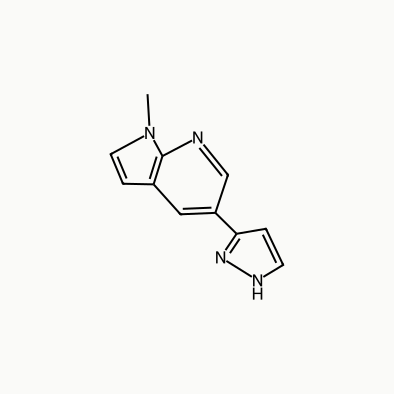 Cn1ccc2cc(-c3cc[nH]n3)cnc21